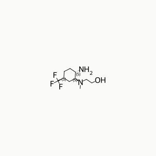 CN(CCO)[C@H]1C[C@@H](C(F)(F)F)CC[C@@H]1N